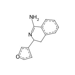 NC1=NC(c2ccoc2)Cc2ccccc21